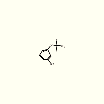 CCCc1cccc(OC(F)(F)C(F)(F)F)c1